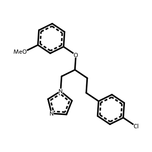 COc1cccc(OC(CCc2ccc(Cl)cc2)Cn2ccnc2)c1